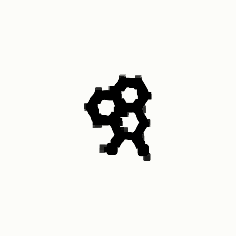 O=C1Cc2cccc3cccc(c23)C1=O